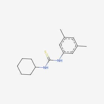 Cc1cc(C)cc(NC(=S)NC2CCCCC2)c1